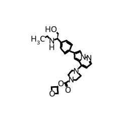 CCN[C@@H](CO)c1ccc(-c2cc3c(N4CCN(C(=O)OC5COC5)CC4)ccnn3c2)cc1